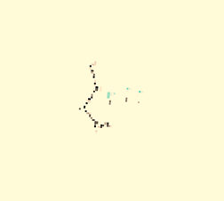 CC[CH2][Ge+3].[F-].[F-].[F-]